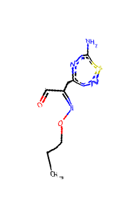 CCCON=C([C]=O)c1nsc(N)n1